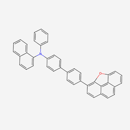 c1ccc(N(c2ccc(-c3ccc(-c4ccc5ccc6cccc7oc4c5c67)cc3)cc2)c2cccc3ccccc23)cc1